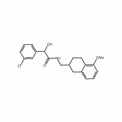 COc1cccc2c1CCC(CNC(=O)C(O)c1cccc(Cl)c1)C2